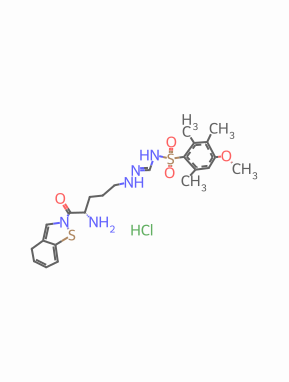 COc1cc(C)c(S(=O)(=O)NC=NNCCC[C@H](N)C(=O)N2C=C3CC=CC=C3S2)c(C)c1C.Cl